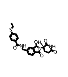 CCSc1ccc(C(=O)NCc2ccc3c(c2)C(O)N([C@@]2(C)CCC(=O)NC2=O)C3=O)cc1